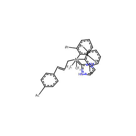 CC(=O)c1ccc(C=C[CH2][Au]([c]2c(C(C)C)cccc2C(C)C)([c]2c(C(C)C)cccc2C(C)C)(=[c]2[nH]cc[nH]2)([C](F)(F)F)[C](F)(F)F)cc1